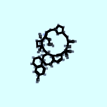 CO/C1=C\CN2CCC(CC(=O)NS(=O)(=O)c3ccc4c(c3)N(C[C@@H]3CC[C@@H]13)C[C@@]1(CCCc3cc(Cl)ccc31)CO4)C2